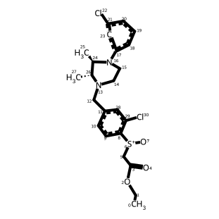 CCOC(=O)C[S+]([O-])c1ccc(CN2CCN(c3cccc(Cl)c3)[C@H](C)[C@H]2C)cc1Cl